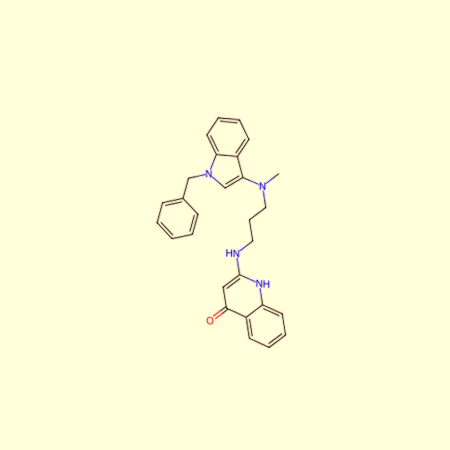 CN(CCCNc1cc(=O)c2ccccc2[nH]1)c1cn(Cc2ccccc2)c2ccccc12